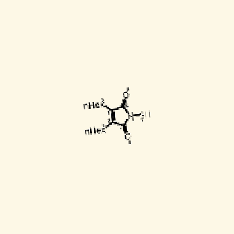 CCCCCCC1=C(CCCCCC)C(=O)N(S)C1=O